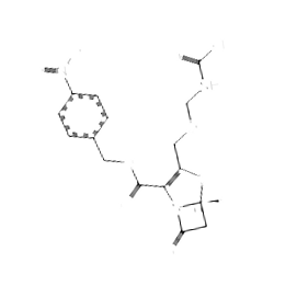 CC(=O)NCOCC1=C(C(=O)OCc2ccc([N+](=O)[O-])cc2)N2C(=O)C[C@H]2S1